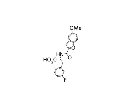 COc1ccc2oc(C(=O)NC(Cc3cccc(F)c3)C(=O)O)cc2c1